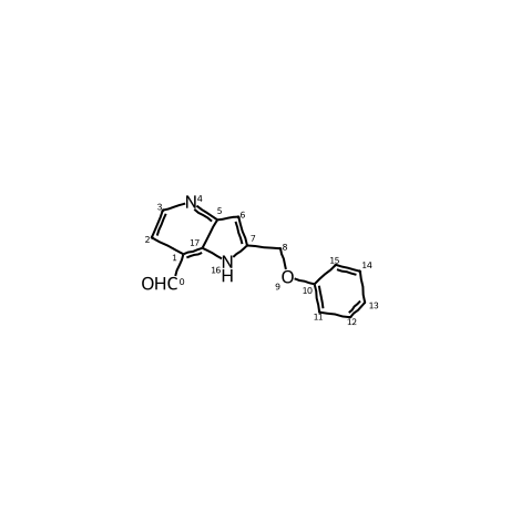 O=Cc1ccnc2cc(COc3ccccc3)[nH]c12